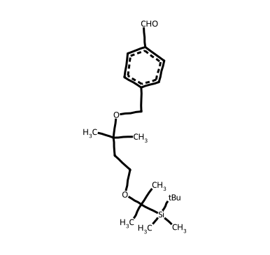 CC(C)(CCOC(C)(C)[Si](C)(C)C(C)(C)C)OCc1ccc(C=O)cc1